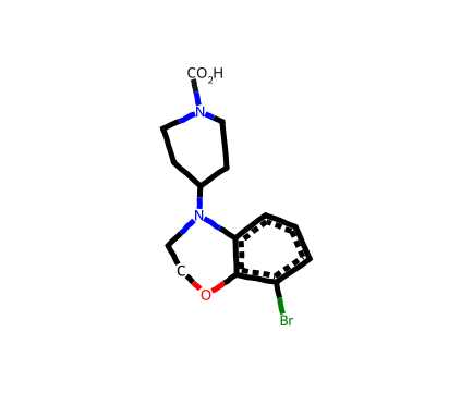 O=C(O)N1CCC(N2CCOc3c(Br)cccc32)CC1